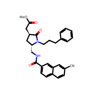 COC(=O)C[C@@H]1C[C@@H](CNC(=O)c2ccc3ccc(C#N)cc3c2)N(CCCc2ccccc2)C1=O